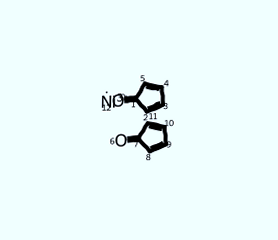 O=C1C=CC=C1.O=C1C=CC=C1.[Ni+3]